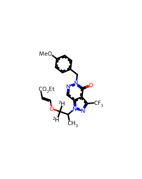 [2H]C([2H])(O/C=C/C(=O)OCC)C(C)n1nc(C(F)(F)F)c2c(=O)n(Cc3ccc(OC)cc3)ncc21